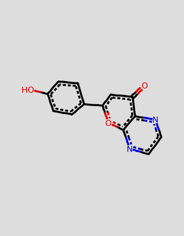 O=c1cc(-c2ccc(O)cc2)oc2nccnc12